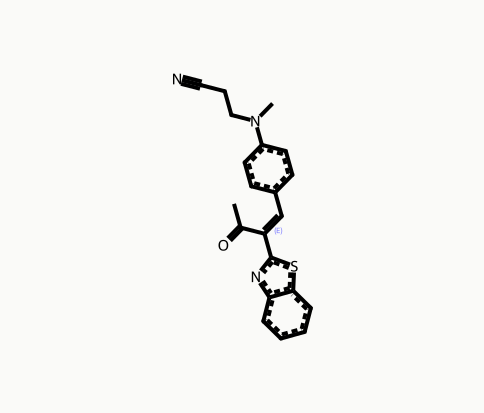 CC(=O)/C(=C\c1ccc(N(C)CCC#N)cc1)c1nc2ccccc2s1